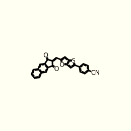 N#Cc1ccc(-c2cc3oc(C=C4C(=O)c5cc6ccccc6cc5C4=O)cc3s2)cc1